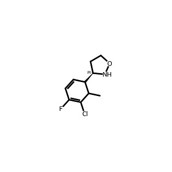 CC1C(Cl)=C(F)C=CC1[C@H]1CCON1